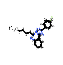 CCCCCc1nc2ccccc2c2nc(-c3ccc(F)cc3)nn12